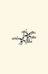 CCCCCCP(=O)(OC)OP(CC)(CCCC)(CCCC)CCCC